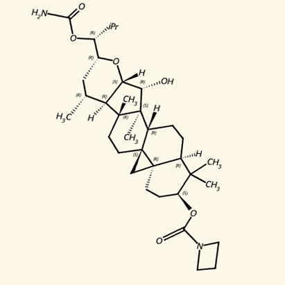 CC(C)[C@@H](OC(N)=O)[C@H]1C[C@@H](C)[C@H]2[C@H](O1)[C@H](O)[C@@]1(C)[C@@H]3CC[C@H]4C(C)(C)[C@@H](OC(=O)N5CCC5)CC[C@@]45C[C@@]35CC[C@]21C